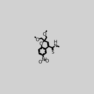 CNC(=S)C1=CC(COC)(COC)Oc2ccc([N+](=O)[O-])cc21